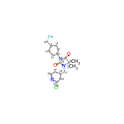 CC1(C)C(=O)N(c2ccc(CF)cc2)C(=O)N1Cc1ccnc(Cl)c1